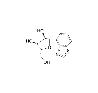 OC[C@H]1OC[C@H](O)[C@@H]1O.c1ccc2scnc2c1